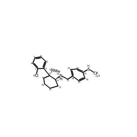 CN[C@@]1(c2ccccc2Cl)CCCC[C@@H]1NCc1ccc(SC(F)(F)F)cc1